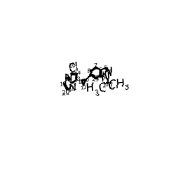 CC(C)n1ncc2ccc(C3C[C@@H]3c3cc(Cl)nn4ccnc34)cc21